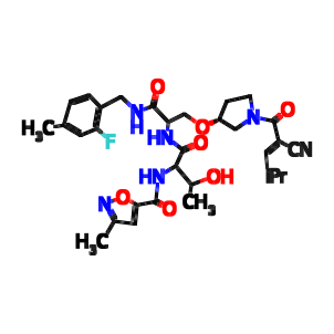 Cc1ccc(CNC(=O)C(CO[C@H]2CCN(C(=O)C(C#N)=CC(C)C)C2)NC(=O)C(NC(=O)c2cc(C)no2)C(C)O)c(F)c1